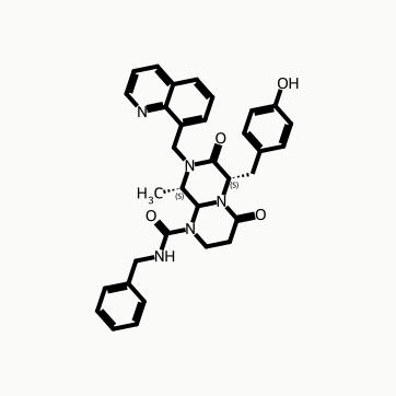 C[C@H]1C2N(C(=O)NCc3ccccc3)CCC(=O)N2[C@@H](Cc2ccc(O)cc2)C(=O)N1Cc1cccc2cccnc12